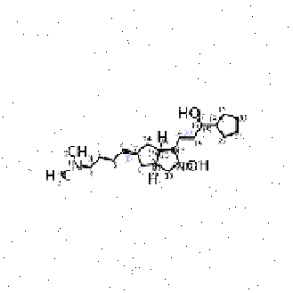 CN(C)CCC/C=C1\C[C@H]2C[C@@H](O)[C@H](/C=C/[C@@H](O)C3CCCC3)[C@H]2C1